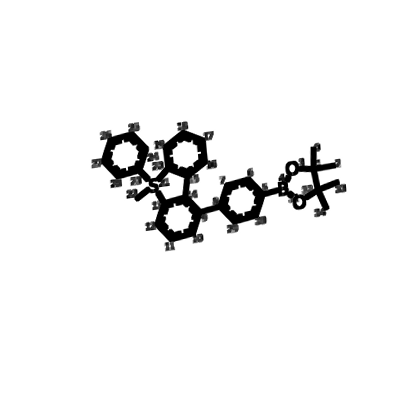 CC1(C)OB(c2ccc(-c3cccc4c3-c3ccccc3S4(C)c3ccccc3)cc2)OC1(C)C